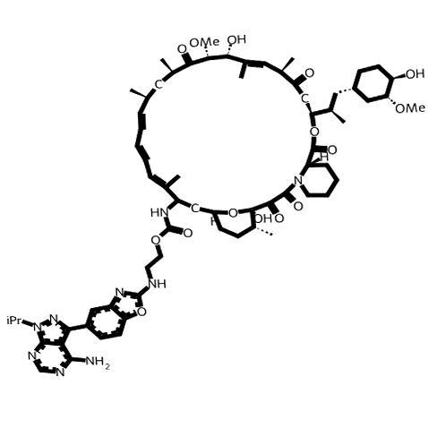 CO[C@@H]1C[C@H](C[C@@H](C)[C@@H]2CC(=O)[C@H](C)/C=C(\C)[C@@H](O)[C@@H](OC)C(=O)[C@H](C)C[C@H](C)/C=C/C=C/C=C(\C)C(NC(=O)OCCNc3nc4cc(-c5nn(C(C)C)c6ncnc(N)c56)ccc4o3)C[C@@H]3CC[C@@H](C)[C@@](O)(O3)C(=O)C(=O)N3CCCC[C@H]3C(=O)O2)CC[C@H]1O